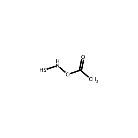 CC(=O)ONS